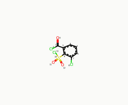 O=C(Cl)c1cccc(Cl)c1S(=O)(=O)Cl